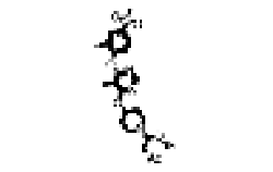 CC(=O)CC(OC(C)C)N1CCC(Oc2ncnc(Oc3ccc(S(C)(=O)=O)cc3F)c2C)CC1